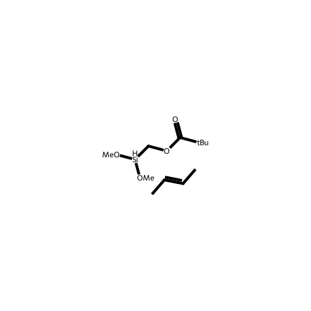 CC=CC.CO[SiH](COC(=O)C(C)(C)C)OC